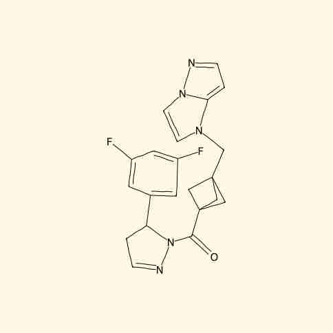 O=C(N1N=CCC1c1cc(F)cc(F)c1)C12CC(Cn3ccn4nccc34)(C1)C2